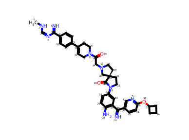 CN/C=N\C(=N)c1ccc(C2=CCN(C(=O)CN3CC[C@]4(CCN(c5ccc(N)c(C(=N)c6ccc(OC7CCC7)nc6)c5)C4=O)C3)CC2)cc1